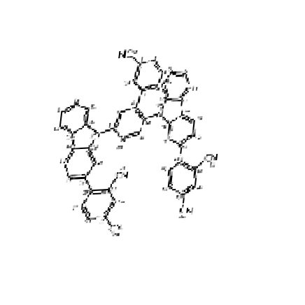 N#Cc1cccc(-c2cc(-n3c4ccccc4c4ccc(-c5ccc(C#N)cc5C#N)cc43)ncc2-n2c3ccccc3c3ccc(-c4ccc(C#N)cc4C#N)cc32)c1